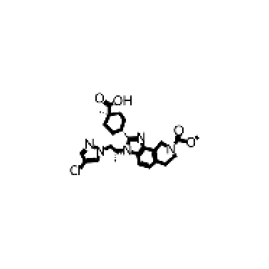 COC(=O)N1CCc2ccc3c(nc([C@H]4CC[C@](C)(C(=O)O)CC4)n3[C@H](C)Cn3cc(Cl)cn3)c2C1